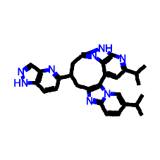 CC(C)c1ccc2nc3c(n2c1)-c1cc(C(C)C)nc2[nH]c(nc12)CC(c1ccc2[nH]ncc2n1)C3